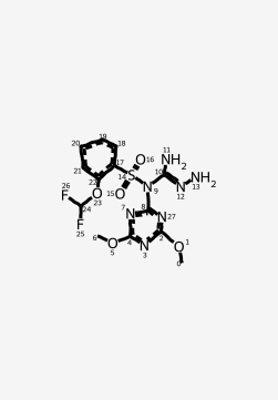 COc1nc(OC)nc(N(C(N)=NN)S(=O)(=O)c2ccccc2OC(F)F)n1